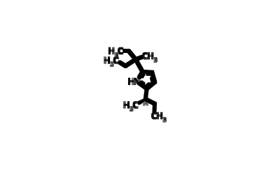 CC[C@@H](C)c1ccc(C(C)(CC)CC)[nH]1